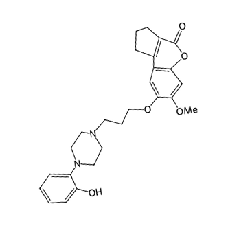 COc1cc2oc(=O)c3c(c2cc1OCCCN1CCN(c2ccccc2O)CC1)CCC3